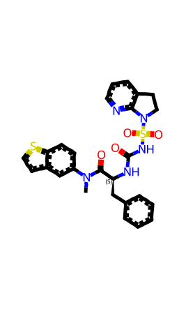 CN(C(=O)[C@H](Cc1ccccc1)NC(=O)NS(=O)(=O)N1CCc2cccnc21)c1ccc2sccc2c1